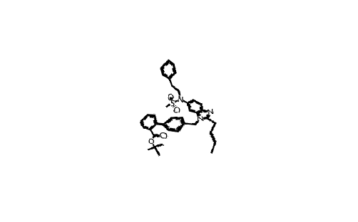 CCCCc1nc2ccc(N(CCc3ccccc3)S(C)(=O)=O)cc2n1Cc1ccc(-c2ccccc2C(=O)OC(C)(C)C)cc1